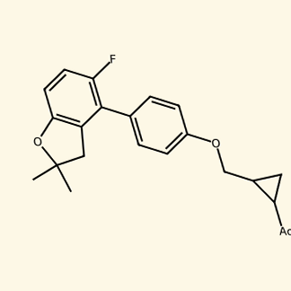 CC(=O)C1CC1COc1ccc(-c2c(F)ccc3c2CC(C)(C)O3)cc1